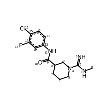 CNC(=N)N1CCCC(C(=O)Nc2ccc(Cl)c(F)c2)C1